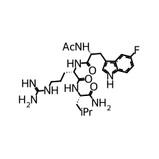 CC(=O)N[C@H](Cc1c[nH]c2ccc(F)cc12)C(=O)N[C@@H](CCCNC(=N)N)C(=O)N[C@@H](CC(C)C)C(N)=O